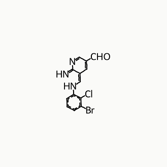 N=C1N=CC(C=O)=C/C1=C/Nc1cccc(Br)c1Cl